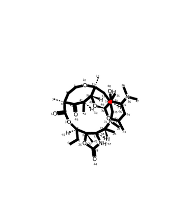 CC[C@H]1OC(=O)[C@@]2(C)CCO[C@@](C)(C[C@@H](C)CN(C)[C@H](C)[C@H]3NC(=O)O[C@@]31C)[C@H](O[C@@H]1OC(C)CC(N(C)C)C1O)[C@@H](C)C2=O